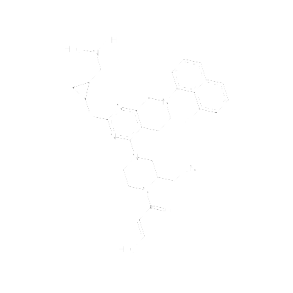 C/C=C/C(=O)N1CCN(c2nc(OC3CC3CN(C)C)nc3c2CCN(c2cccc4cccc(C)c24)C3)CC1CC#N